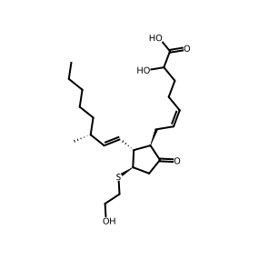 CCCCC[C@@H](C)/C=C/[C@H]1[C@H](SCCO)CC(=O)[C@@H]1C/C=C\CCC(O)C(=O)O